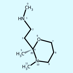 CNCC[C@@]1(C)OCCCN1C